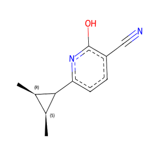 C[C@@H]1C(c2ccc(C#N)c(O)n2)[C@@H]1C